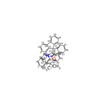 CC1(C)c2ccccc2N(c2cccc3c2C2(c4ccccc4-3)c3ccccc3-c3oc4ccccc4c32)c2ccccc21